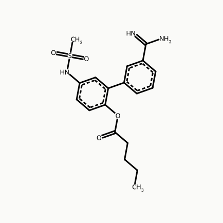 CCCCC(=O)Oc1ccc(NS(C)(=O)=O)cc1-c1cccc(C(=N)N)c1